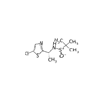 C[C@@H](N[S@+]([O-])C(C)(C)C)c1ncc(Cl)s1